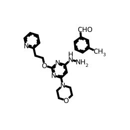 Cc1cccc(C=O)c1.NNc1cc(N2CCOCC2)nc(OCCc2ccccn2)n1